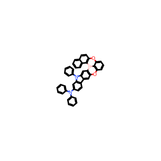 c1ccc(N(c2ccccc2)c2ccc3c4cc5c(cc4n(-c4ccccc4)c3c2)B2c3c(cccc3Oc3ccc4ccccc4c32)O5)cc1